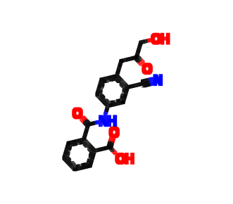 N#Cc1cc(NC(=O)c2ccccc2C(=O)O)ccc1CC(=O)CO